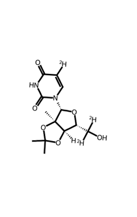 [2H]c1cn([C@@H]2O[C@H](C([2H])([2H])O)[C@H]3OC(C)(C)O[C@]32C)c(=O)[nH]c1=O